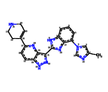 Cc1cn(-c2cccc3[nH]c(-c4n[nH]c5ccc(C6=CCNCC6)nc45)nc23)cn1